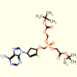 CC(C)(C)OC(=O)COP(=O)(CO[C@@H]1C[C@H](n2cnc3c(N)ncnc32)C=C1F)OCOC(=O)OC(C)(C)C